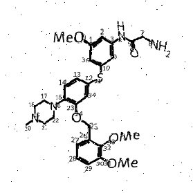 COc1cc(NC(=O)CN)cc(Sc2ccc(N3CCN(C)CC3)c(OCc3cccc(OC)c3OC)c2)c1